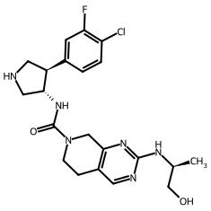 C[C@@H](CO)Nc1ncc2c(n1)CN(C(=O)N[C@@H]1CNC[C@H]1c1ccc(Cl)c(F)c1)CC2